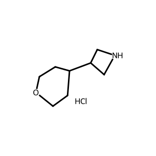 C1CC(C2CNC2)CCO1.Cl